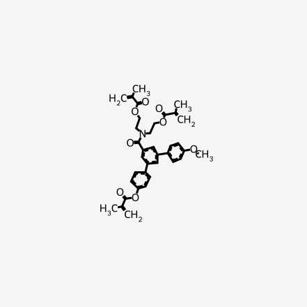 C=C(C)C(=O)OCCN(CCOC(=O)C(=C)C)C(=O)c1cc(-c2ccc(OC)cc2)cc(-c2ccc(OC(=O)C(=C)C)cc2)c1